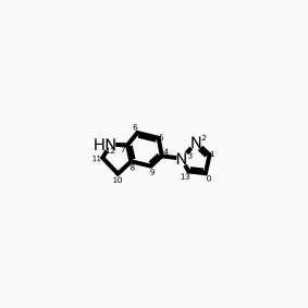 c1cnn(-c2ccc3c(c2)CCN3)c1